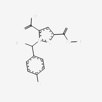 CNC(=S)c1cc(C(=O)O)n(C(C)c2ccc(C)cc2)n1